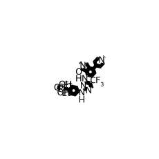 CCC(CC)(c1ccc(Nc2ncc(C(F)(F)F)c(Nc3ccc(C4=CCN(C)CC4)c4c3C(=O)N(C)C4)n2)cc1)P(=O)(O)O